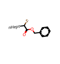 CCCCCCCC([S])C(=O)OCc1ccccc1